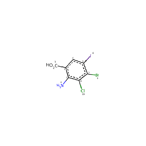 Nc1c(C(=O)O)cc(I)c(Br)c1Cl